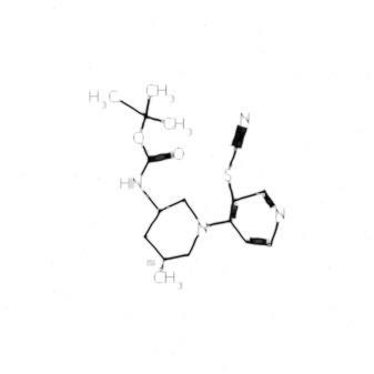 C[C@H]1CC(NC(=O)OC(C)(C)C)CN(c2ccncc2SC#N)C1